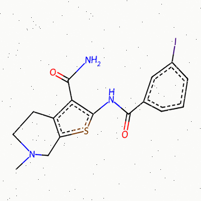 CN1CCc2c(sc(NC(=O)c3cccc(I)c3)c2C(N)=O)C1